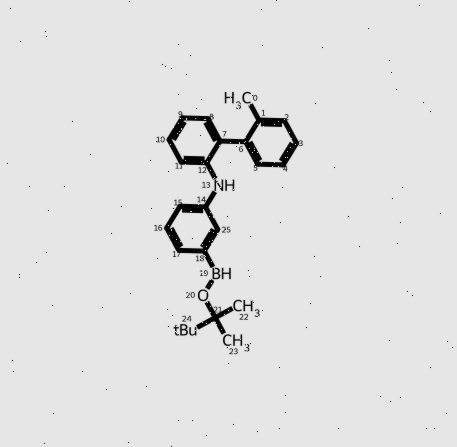 Cc1ccccc1-c1ccccc1Nc1cccc(BOC(C)(C)C(C)(C)C)c1